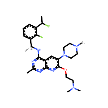 CCN1CCN(c2cc3c(N[C@H](C)c4cccc(C(C)F)c4F)nc(C)nc3nc2OCCN(C)C)CC1